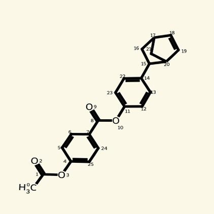 CC(=O)Oc1ccc(C(=O)Oc2ccc(C3CC4C=CC3C4)cc2)cc1